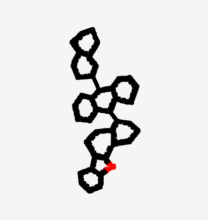 c1ccc2cc(-c3c4ccccc4c(-c4cccc5c4ccc4c6ccccc6oc54)c4ccccc34)ccc2c1